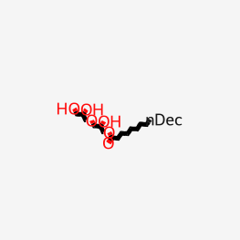 CCCCCCCCCCCCCCCCCC(=O)OCC(O)COCC(O)CO